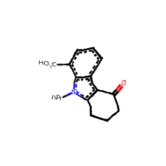 CCCn1c2c(c3cccc(C(=O)O)c31)C(=O)CCC2